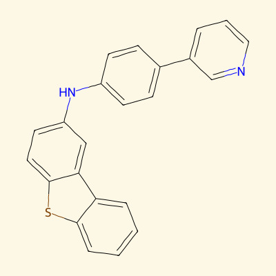 c1cncc(-c2ccc(Nc3ccc4sc5ccccc5c4c3)cc2)c1